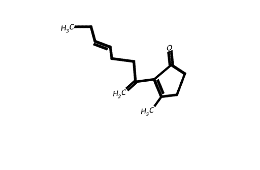 C=C(CCC=CCC)C1=C(C)CCC1=O